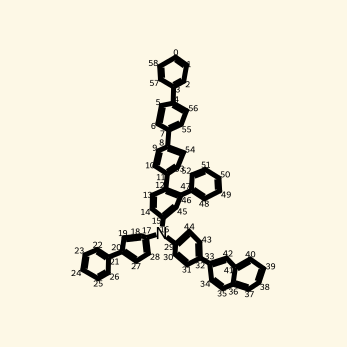 c1ccc(-c2ccc(-c3ccc(-c4ccc(N(c5ccc(-c6ccccc6)cc5)c5ccc(-c6ccc7ccccc7c6)cc5)cc4-c4ccccc4)cc3)cc2)cc1